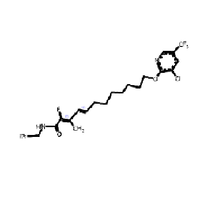 CC(/C=C/CCCCCCCOc1ncc(C(F)(F)F)cc1Cl)=C(/F)C(=O)NCC(C)C